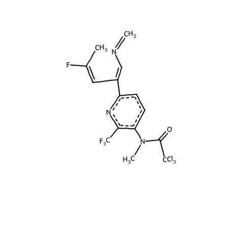 C=N/C=C(\C=C(/C)F)c1ccc(N(C)C(=O)C(Cl)(Cl)Cl)c(C(F)(F)F)n1